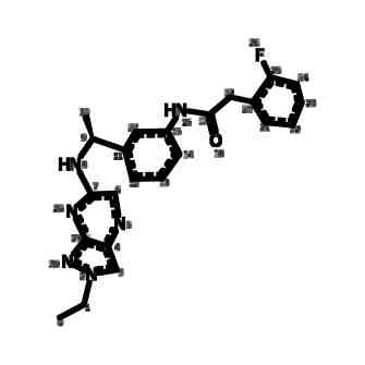 CCn1cc2ncc(N[C@@H](C)c3cccc(NC(=O)Cc4ccccc4F)c3)nc2n1